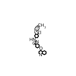 CN1CCN(Cc2cc(Nc3nc4cc(Oc5ccnc6ccccc56)ccc4o3)ccc2Cl)CC1